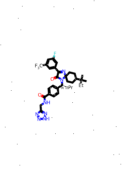 CCC[C@H](c1ccc(C(=O)NCc2nn[nH]n2)cc1)N1C(=O)C(c2cc(F)cc(C(F)(F)F)c2)=NC12CCC(C(C)(C)CC)CC2